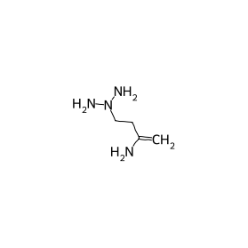 C=C(N)CCN(N)N